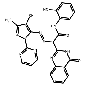 Cc1nn(-c2ncccn2)c(N=NC(C(=O)Nc2ccccc2O)c2nc3ccccc3c(=O)[nH]2)c1C#N